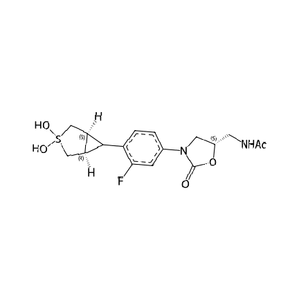 CC(=O)NC[C@H]1CN(c2ccc(C3[C@H]4CS(O)(O)C[C@@H]34)c(F)c2)C(=O)O1